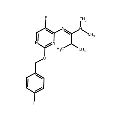 CC(C)/C(=N\c1nc(OCc2ccc(F)cc2)ncc1F)N(C)C